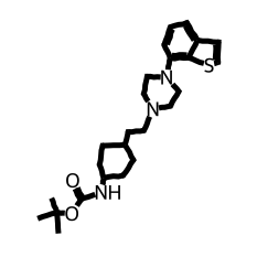 CC(C)(C)OC(=O)NC1CCC(CCN2CCN(c3cccc4ccsc34)CC2)CC1